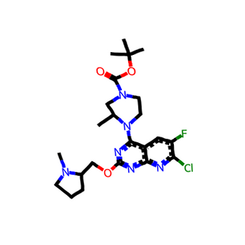 CC1CN(C(=O)OC(C)(C)C)CCN1c1nc(OCC2CCCN2C)nc2nc(Cl)c(F)cc12